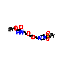 CC(C)OCC(=O)NCCOCCOCCN1CCN(S(=O)(=O)C(C)C)CC1